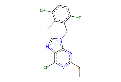 CSc1nc(Cl)c2ncn(Cc3c(F)ccc(Cl)c3F)c2n1